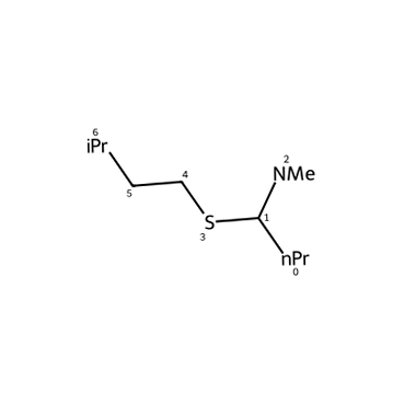 CCCC(NC)SCCC(C)C